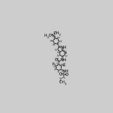 CCCS(=O)(=O)Nc1ccc(F)c(C(=O)Nc2cnc3[nH]c(-c4ccc(N(C)C)cc4)cc3c2)c1F